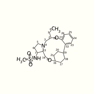 CCC1CN2CCC(NS(C)(=O)=O)C2COC2CCC(CC2)c2ccccc2O1